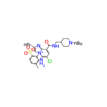 CCCCN1CCC(CNC(=O)C2=CC(Cl)=C(N)[N+]3(c4cc(C)ccc4S(=O)(=O)[O-])C=C(CCC)N=C23)CC1